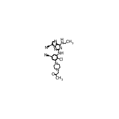 CCNc1nc(Nc2cc(C#N)cc(N3CCN(CC(C)=O)CC3)c2Cl)nn2c(C#N)cnc12